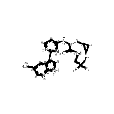 O=C(NCC(F)(F)F)[C@@H](CC1CC1)Nc1ccnc(-c2c[nH]c3ncc(Cl)cc23)n1